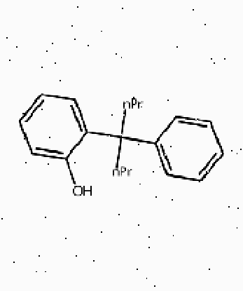 CCCC(CCC)(c1ccccc1)c1ccccc1O